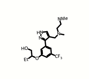 CCC(CO)Oc1cc(-c2n[nH]cc2CN(C)CCNC)cc(C(F)(F)F)c1